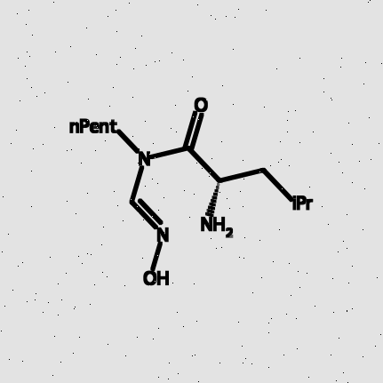 CCCCCN(C=NO)C(=O)[C@@H](N)CC(C)C